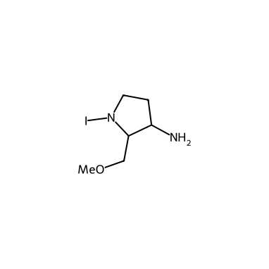 COCC1C(N)CCN1I